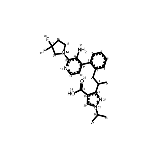 CC(Cc1ccccc1-c1ccnc(N2CCC(F)(F)C2)c1N)c1nn(C(C)C)cc1C(=O)O